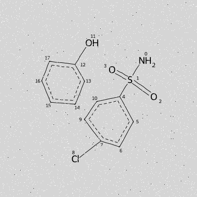 NS(=O)(=O)c1ccc(Cl)cc1.Oc1ccccc1